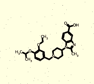 CCOc1cc(CN2CCC(n3c(C)nc4cc(C(=O)O)ccc43)CC2)ccc1OC(C)C